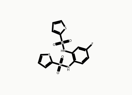 O=S(=O)(Nc1ccc(F)cc1NS(=O)(=O)c1cccs1)c1cccs1